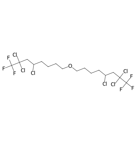 FC(F)(F)C(Cl)(Cl)CC(Cl)CCCCOCCCCC(Cl)CC(Cl)(Cl)C(F)(F)F